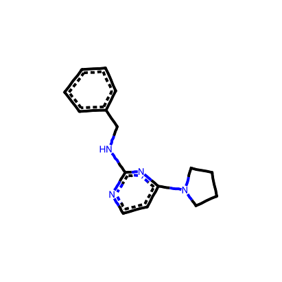 c1ccc(CNc2nccc(N3CCCC3)n2)cc1